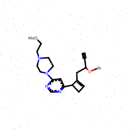 C#CC(CC1=CCC1c1cc(N2CCN(CCOC)CC2)ncn1)OC(C)C